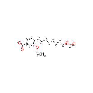 CCOc1cc(C([O])=O)ccc1CCCCCCCCOC=O